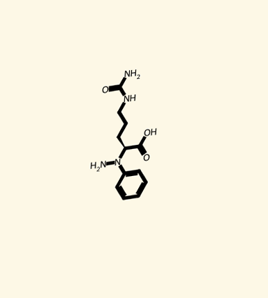 NC(=O)NCCC[C@@H](C(=O)O)N(N)c1ccccc1